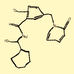 O=C(NC(O)C1CCCCC1)c1cc(Cn2ccccc2=O)ccc1Cl